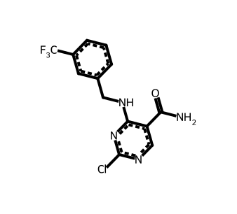 NC(=O)c1cnc(Cl)nc1NCc1cccc(C(F)(F)F)c1